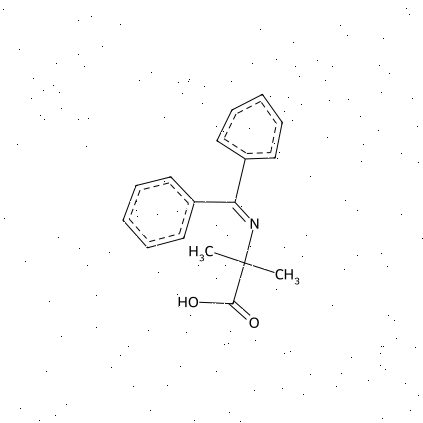 CC(C)(N=C(c1ccccc1)c1ccccc1)C(=O)O